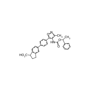 Cc1noc(-c2ccc(-c3ccc4c(c3)CCC4C(=O)O)cc2)c1NC(=O)OC(C)c1ccccc1